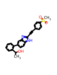 CC(O)c1ccccc1-c1ccc2[nH]c(C#Cc3ccc(S(C)(=O)=O)cc3)nc2c1